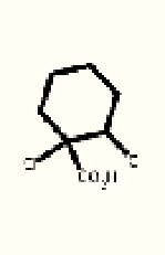 O=C(O)C1(Cl)CCCCC1Cl